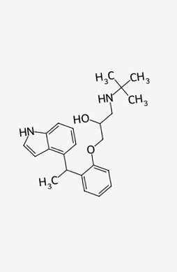 CC(c1ccccc1OCC(O)CNC(C)(C)C)c1cccc2[nH]ccc12